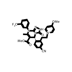 COC(=O)C1=C(C)N(c2cccc(C(F)(F)F)c2)c2n[nH]c(=O)n2[C@@H]1c1ccc(C#N)cc1CC[n+]1ccc(OC)cc1